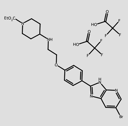 CCOC(=O)N1CCC(NCCOc2ccc(-c3nc4cc(Br)cnc4[nH]3)cc2)CC1.O=C(O)C(F)(F)F.O=C(O)C(F)(F)F